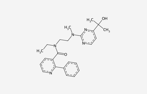 CCN(CCN(C)c1nccc(C(C)(C)O)n1)C(=O)c1cccnc1-c1ccccc1